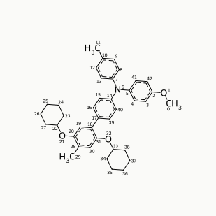 COc1ccc(N(c2ccc(C)cc2)c2ccc(-c3cc(OC4CCCCC4)c(C)cc3OC3CCCCC3)cc2)cc1